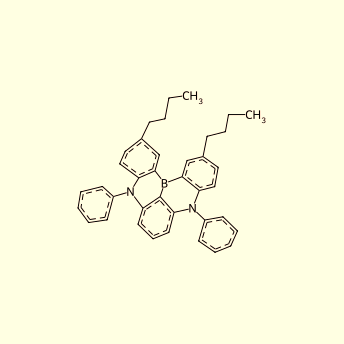 CCCCc1ccc2c(c1)B1c3cc(CCCC)ccc3N(c3ccccc3)c3cccc(c31)N2c1ccccc1